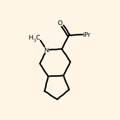 CC(C)C(=O)C1CC2CCCC2CN1C